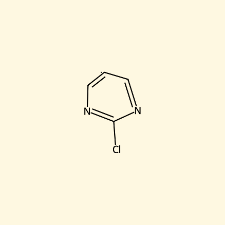 Clc1nc[c]cn1